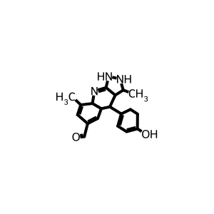 CC1=CC(C=O)=CC2C1N=C1NNC(C)C1C2C1=CC=C(O)CC1